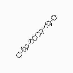 C1=C(C2=Nc3cc4cc5c(cc4cc3C2)N=C(C2=Cn3cc(-c4ccccc4)nc3C2)C5)Cc2nc(-c3ccccc3)cn21